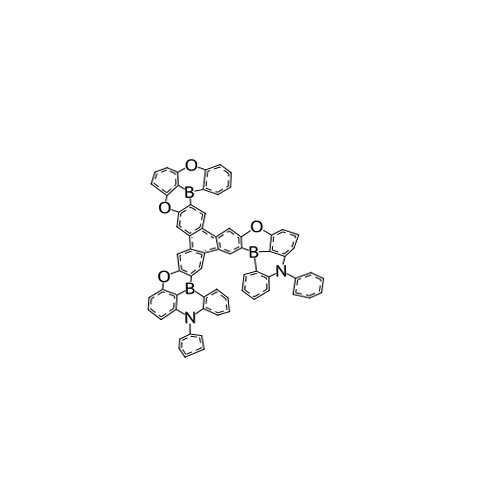 c1ccc(N2c3ccccc3B3c4cc5c(cc4Oc4cccc2c43)c2cc3c(cc2c2cc4c(cc25)B2c5ccccc5N(c5ccccc5)c5cccc(c52)O4)B2c4ccccc4Oc4cccc(c42)O3)cc1